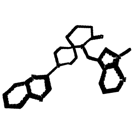 Cn1cc(CN2C(=O)CCCC23CCN(c2cnc4ccccc4n2)CC3)c2cccnc21